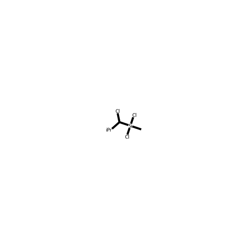 CC(C)C(Cl)[Si](C)(Cl)Cl